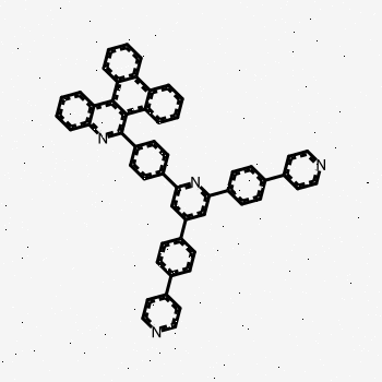 c1ccc2c(c1)nc(-c1ccc(-c3cc(-c4ccc(-c5ccncc5)cc4)cc(-c4ccc(-c5ccncc5)cc4)n3)cc1)c1c3ccccc3c3ccccc3c21